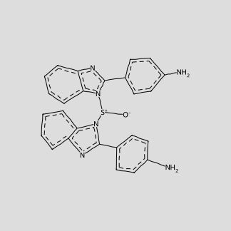 Nc1ccc(-c2nc3ccccc3n2[S+]([O-])n2c(-c3ccc(N)cc3)nc3ccccc32)cc1